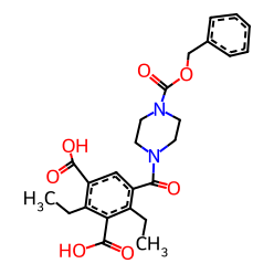 CCc1c(C(=O)O)cc(C(=O)N2CCN(C(=O)OCc3ccccc3)CC2)c(CC)c1C(=O)O